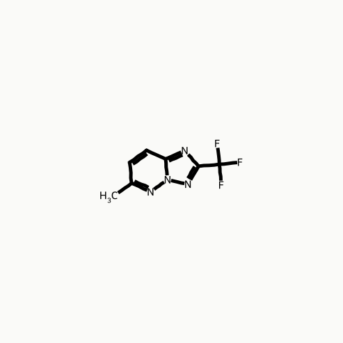 Cc1ccc2nc(C(F)(F)F)nn2n1